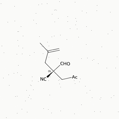 C=C(C)C[C@](C#N)(C=O)CC(C)=O